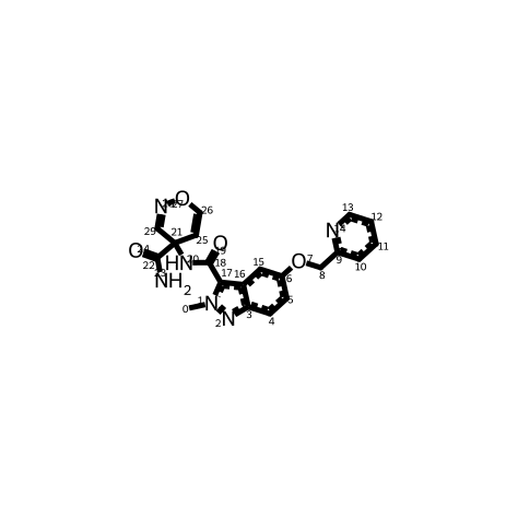 Cn1nc2ccc(OCc3ccccn3)cc2c1C(=O)NC1(C(N)=O)C=CON=C1